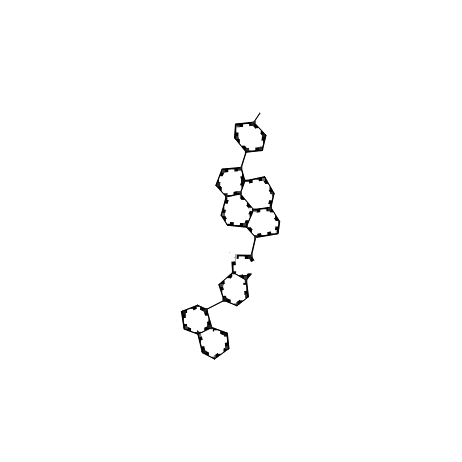 CC(C)(C)c1ccc(-c2ccc3ccc4c(-c5nc6cc(-c7cccc8ccccc78)ccc6o5)ccc5ccc2c3c54)cc1